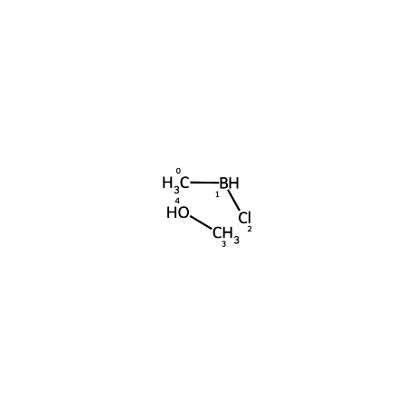 CBCl.CO